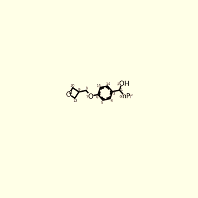 CCCC(O)c1ccc(OCC2COC2)cc1